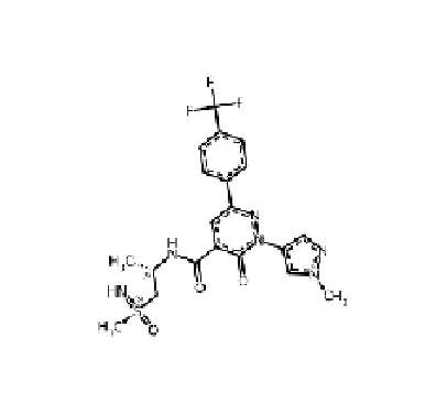 C[C@@H](C[S@@](C)(=N)=O)NC(=O)c1cc(-c2ccc(C(F)(F)F)cc2)nn(-c2cnn(C)c2)c1=O